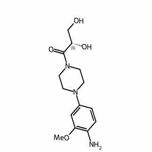 COc1cc(N2CCN(C(=O)[C@@H](O)CO)CC2)ccc1N